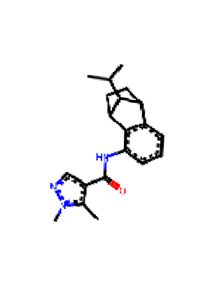 Cc1c(C(=O)Nc2cccc3c2C2CCC3C2C(C)C)cnn1C